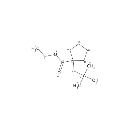 CCOC(=O)C1(CC(C)(C)O)CCCC1